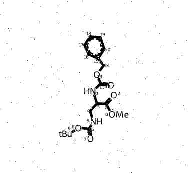 COC(=O)C(CNC(=O)OC(C)(C)C)NC(=O)OCc1ccccc1